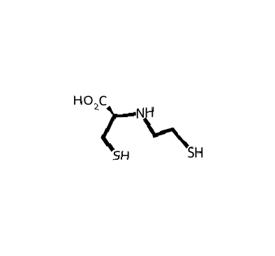 O=C(O)[C@H](CS)NCCS